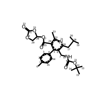 Cc1ccc(-c2c(CNC(=O)OC(C)(C)C)c(CC(C)C)nc(C)c2C(=O)OC2COC(=O)O2)cc1